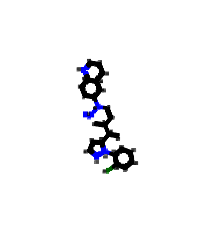 C=C(/C=C\N(N)c1ccc2ncccc2c1)C(=C)c1ccnn1-c1ccccc1F